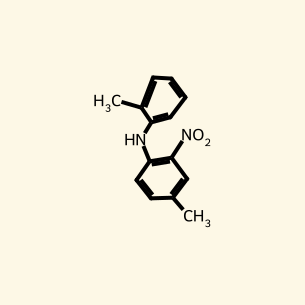 Cc1ccc(Nc2ccccc2C)c([N+](=O)[O-])c1